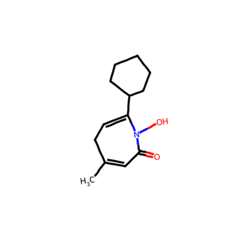 CC1=CC(=O)N(O)C(C2CCCCC2)=CC1